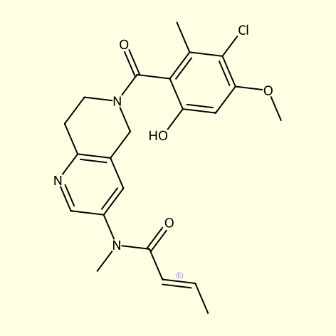 C/C=C/C(=O)N(C)c1cnc2c(c1)CN(C(=O)c1c(O)cc(OC)c(Cl)c1C)CC2